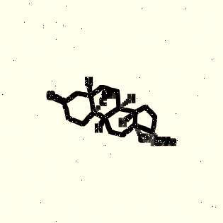 CO[C@H]1CC[C@H]2[C@@H]3CC[C@H]4CC(=O)CC[C@]4(CO)[C@H]3CC[C@]12C